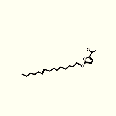 CCCCCC=CCCCCCCCCOc1ccc(C(C)=O)o1